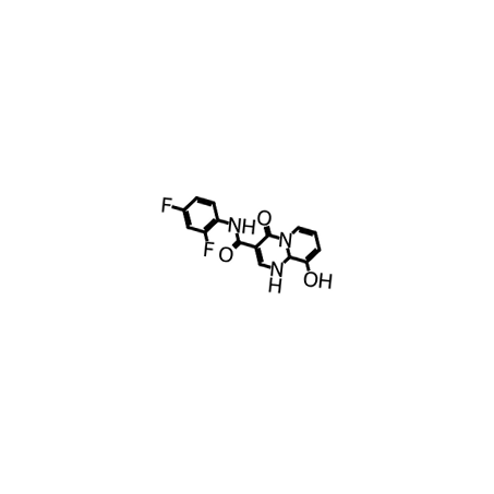 O=C(Nc1ccc(F)cc1F)C1=CNC2C(O)=CC=CN2C1=O